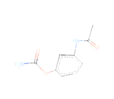 CC(=O)Nc1cccc(OC(N)=O)c1